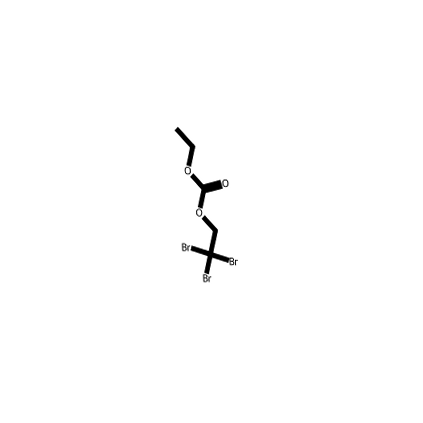 CCOC(=O)OCC(Br)(Br)Br